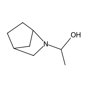 CC(O)N1CC2CCC1C2